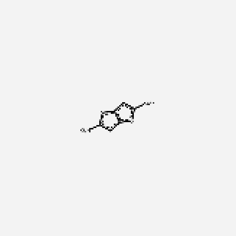 CSc1cc2sc([N+](=O)[O-])cc2s1